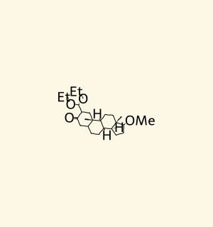 CCOC(OCC)C1C[C@@]2(C)C(CC[C@@H]3[C@H]2CC[C@]2(C)C(OC)CC[C@@H]32)CC1=O